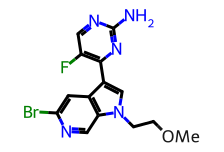 COCCn1cc(-c2nc(N)ncc2F)c2cc(Br)ncc21